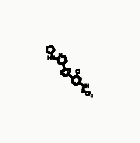 FC(F)(F)SNc1ccc(-c2csc(-c3ccnc(NC4CCCC4)c3)n2)c(Cl)c1